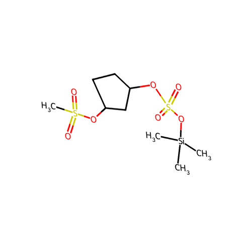 C[Si](C)(C)OS(=O)(=O)OC1CCC(OS(C)(=O)=O)C1